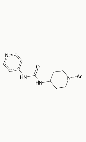 CC(=O)N1CCC(NC(=O)Nc2ccncc2)CC1